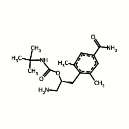 Cc1cc(C(N)=O)cc(C)c1C[C@@H](CN)OC(=O)NC(C)(C)C